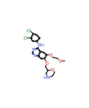 COCCOc1cc2c(Nc3ccc(Cl)c(Cl)c3)ncnc2cc1OCC1CNCCO1